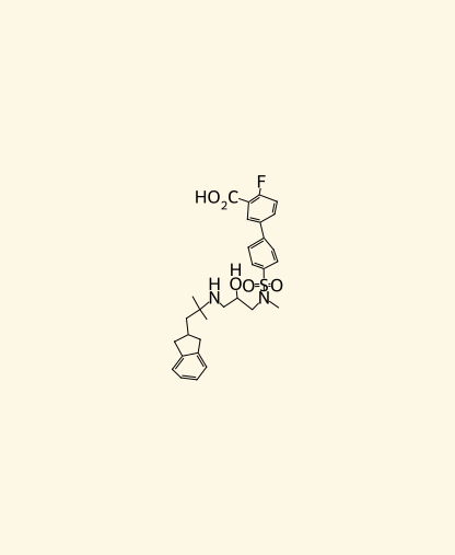 CN(CC(O)CNC(C)(C)CC1Cc2ccccc2C1)S(=O)(=O)c1ccc(-c2ccc(F)c(C(=O)O)c2)cc1